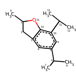 CC1Cc2cc(C(C)C)cc(C(C)C)c2O1